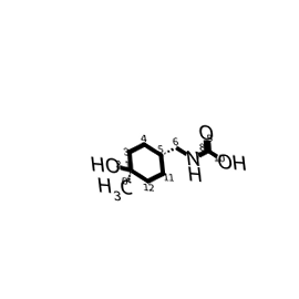 C[C@]1(O)CC[C@H](CNC(=O)O)CC1